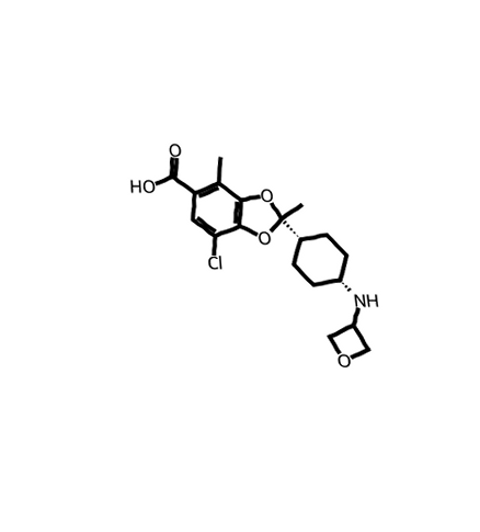 Cc1c(C(=O)O)cc(Cl)c2c1OC(C)([C@H]1CC[C@@H](NC3COC3)CC1)O2